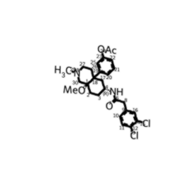 COC12CC[C@@H](NC(=O)Cc3ccc(Cl)c(Cl)c3)CC1(c1cccc(OC(C)=O)c1)CCN(C)C2